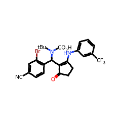 CC(C)(C)N(C(=O)O)C(C1=C(Nc2cccc(C(F)(F)F)c2)CCC1=O)c1ccc(C#N)cc1Br